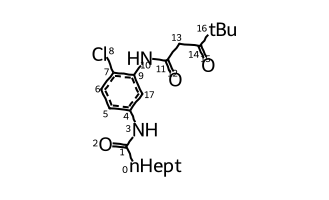 CCCCCCCC(=O)Nc1ccc(Cl)c(NC(=O)CC(=O)C(C)(C)C)c1